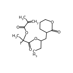 C=C(C)C(=O)OC(C)(I)C(=O)OC(CC)CC1CCCOC1=O